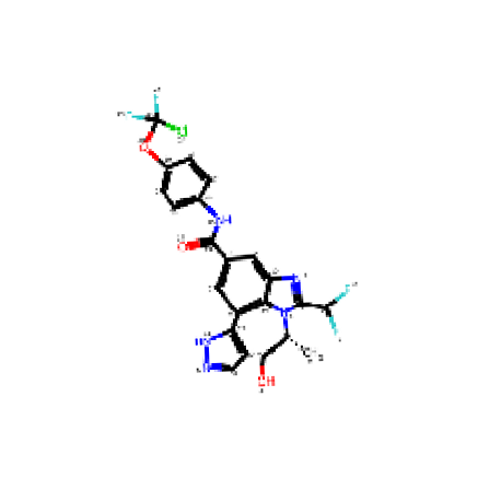 C[C@H](CO)n1c(C(F)F)nc2cc(C(=O)Nc3ccc(OC(F)(F)Cl)cc3)cc(-c3ccn[nH]3)c21